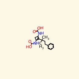 CC(C)(CCc1ccccc1)C1C2(NC(=O)O)CC1(NC(=O)O)C2